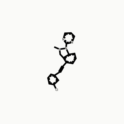 CN1Cc2c(C#Cc3cccc(Cl)c3)cccc2N1c1ncccn1